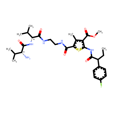 CCC(C(=O)Nc1sc(C(=O)NCCNC(=O)[C@H](NC(=O)[C@H](N)C(C)C)C(C)C)c(C)c1C(=O)OC)c1ccc(F)cc1